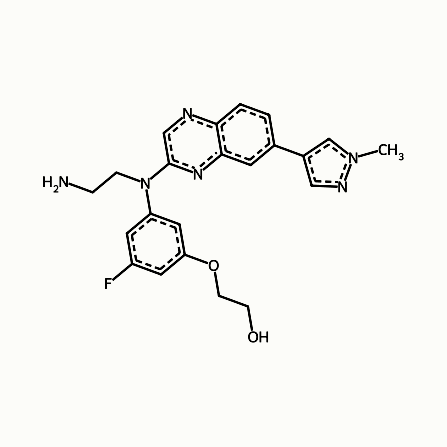 Cn1cc(-c2ccc3ncc(N(CCN)c4cc(F)cc(OCCO)c4)nc3c2)cn1